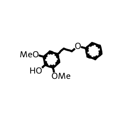 COc1cc(CCOc2ccccc2)cc(OC)c1O